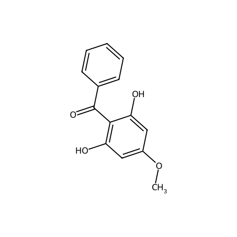 COc1cc(O)c(C(=O)c2ccccc2)c(O)c1